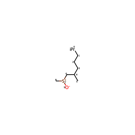 CC(C)CCCC(C)C[S+](C)[O-]